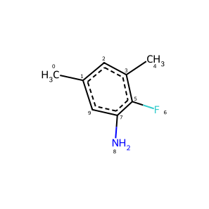 Cc1cc(C)c(F)c(N)c1